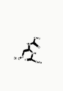 COC(=O)NC(=COC=O)NC(=O)OC